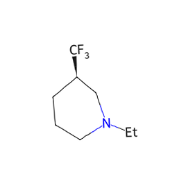 CCN1CCC[C@@H](C(F)(F)F)C1